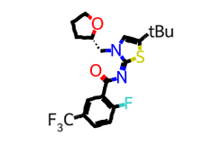 CC(C)(C)c1cn(C[C@@H]2CCCO2)c(=NC(=O)c2cc(C(F)(F)F)ccc2F)s1